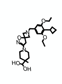 CCOc1cc(CN2CC3(CC(N4CCC(C)(C(O)O)CC4)=NO3)C2)cc(OCC)c1C1CCC1